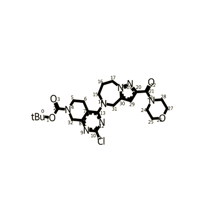 CC(C)(C)OC(=O)N1CCc2c(nc(Cl)nc2N2CCCn3nc(C(=O)N4CCOCC4)cc3C2)C1